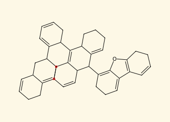 C1=CCC(C2=C3CCC=CC3C(C3=c4oc5c(c4=CCC3)C=CCC5)C3=CCCCC32)C(C2CC=C3CCC=CC3C2)=C1